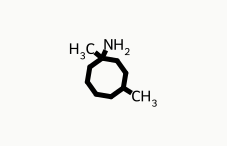 CC1CCCCC(C)(N)CC1